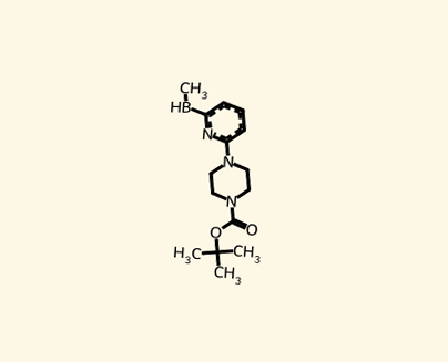 CBc1cccc(N2CCN(C(=O)OC(C)(C)C)CC2)n1